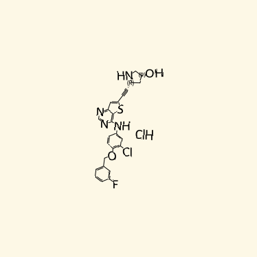 Cl.O[C@H]1CN[C@@H](C#Cc2cc3ncnc(Nc4ccc(OCc5cccc(F)c5)c(Cl)c4)c3s2)C1